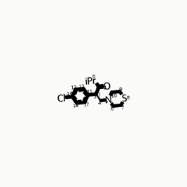 CC(C)C(=O)[C@@H](CN1CCSCC1)c1ccc(Cl)cc1